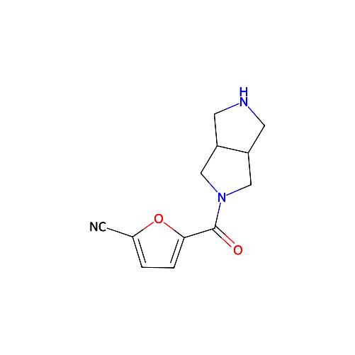 N#Cc1ccc(C(=O)N2CC3CNCC3C2)o1